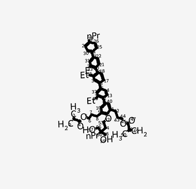 C=C(C)C(=O)OCCCc1cc(-c2ccc(-c3ccc(-c4ccc(-c5ccc(CCC)cc5)cc4F)c(CC)c3)cc2CC)cc(CCCOC(=O)C(=C)C)c1OCCC(CO)(CO)CCC